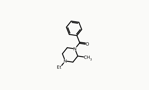 CCN1CCN(C(=O)c2ccccc2)C(C)C1